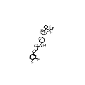 O=C(COc1ccc(F)c(F)c1)N[C@@H]1CC[C@@H](c2nnc(C3(OC(F)(F)F)CCC3)o2)OC1